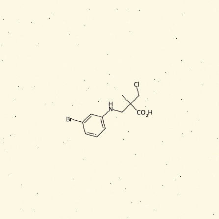 CC(CCl)(CNc1cccc(Br)c1)C(=O)O